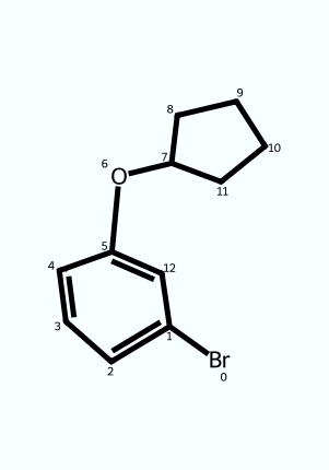 Brc1cc[c]c(OC2CCCC2)c1